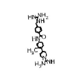 Cc1cc(NC(=O)c2ccc(CNC(=N)N)cc2)ccc1C1=CCN(C(=N)N)CC1